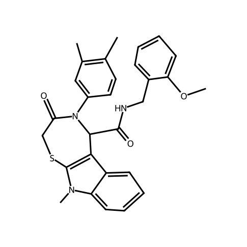 COc1ccccc1CNC(=O)C1c2c(n(C)c3ccccc23)SCC(=O)N1c1ccc(C)c(C)c1